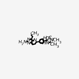 CCCc1nc(N)nc2ccc(-c3ccc(C(=O)NC(C)N(C)C)cc3)nc12